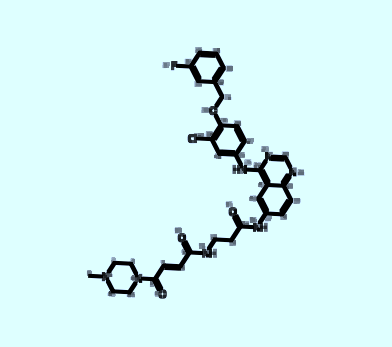 CN1CCN(C(=O)C=CC(=O)NCCC(=O)Nc2ccc3ncnc(Nc4ccc(OCc5cccc(F)c5)c(Cl)c4)c3c2)CC1